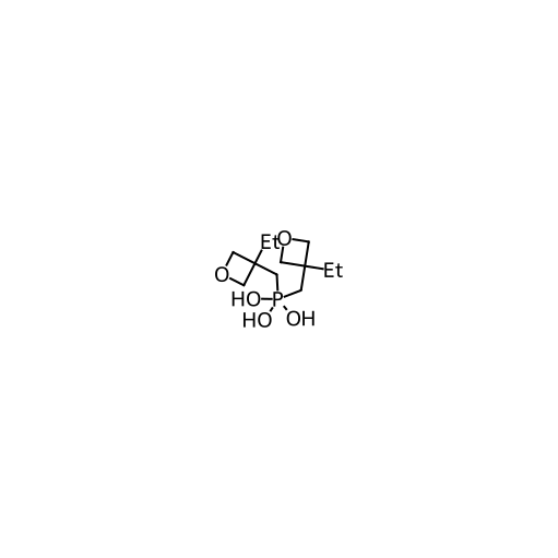 CCC1(CP(O)(O)(O)CC2(CC)COC2)COC1